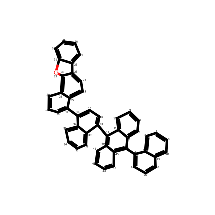 c1ccc2c(-c3c4ccccc4c(-c4ccc(-c5cccc6c5ccc5c7ccccc7oc65)c5ccccc45)c4ccccc34)cccc2c1